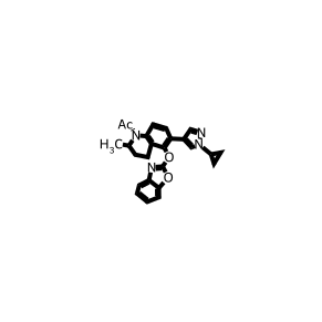 CC(=O)N1c2ccc(-c3cnn(C4CC4)c3)c(Oc3nc4ccccc4o3)c2CCC1C